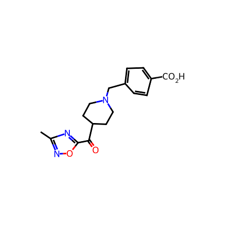 Cc1noc(C(=O)C2CCN(Cc3ccc(C(=O)O)cc3)CC2)n1